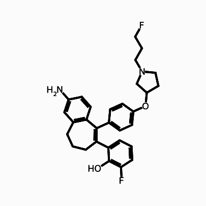 Nc1ccc2c(c1)CCCC(c1cccc(F)c1O)=C2c1ccc(OC2CCN(CCCF)C2)cc1